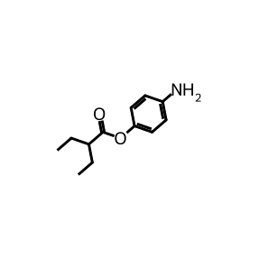 CCC(CC)C(=O)Oc1ccc(N)cc1